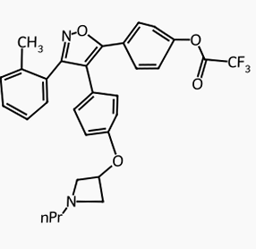 CCCN1CC(Oc2ccc(-c3c(-c4ccccc4C)noc3-c3ccc(OC(=O)C(F)(F)F)cc3)cc2)C1